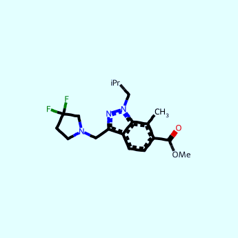 COC(=O)c1ccc2c(CN3CCC(F)(F)C3)nn(CC(C)C)c2c1C